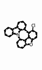 Clc1ccc2oc3cccc4c3c2c1c1cccc2c3ccccc3n4c21